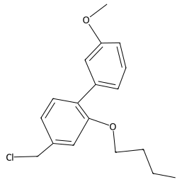 CCCCOc1cc(CCl)ccc1-c1cccc(OC)c1